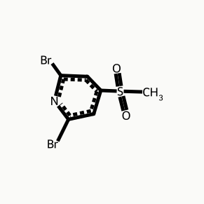 CS(=O)(=O)c1cc(Br)nc(Br)c1